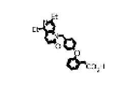 CCc1cc2c(ccc(=O)n2Cc2ccc(Oc3ccccc3CC(=O)O)cc2)c(CC)n1